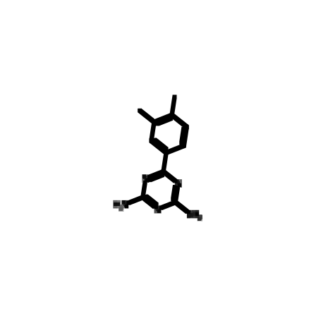 Cc1ccc(-c2nc(N)nc(N)n2)cc1C